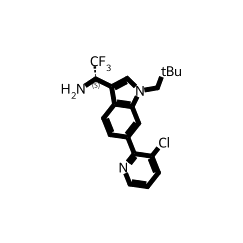 CC(C)(C)Cn1cc([C@H](N)C(F)(F)F)c2ccc(-c3ncccc3Cl)cc21